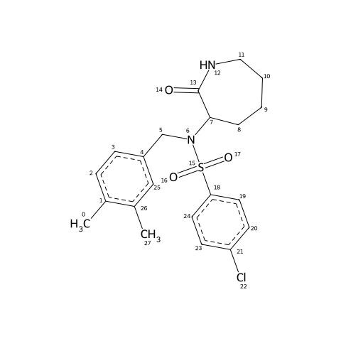 Cc1ccc(CN(C2CCCCNC2=O)S(=O)(=O)c2ccc(Cl)cc2)cc1C